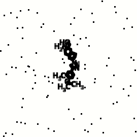 Cc1cc(-c2cn(-c3ccc4c(c3)CCC(N)(CO)C4)nn2)ccc1OC(C)C